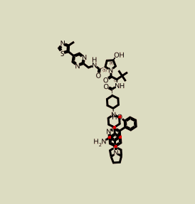 Cc1ncsc1-c1cnc(CNC(=O)[C@@H]2C[C@@H](O)CN2C(=O)[C@@H](NC(=O)[C@H]2CC[C@@H](N3CCC(c4ccc(N5C6CCC5CN(c5cc(-c7ccccc7O)nnc5N)C6)cc4)CC3)CC2)C(C)(C)C)nc1